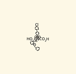 O=C(O)CN(C1(C(=O)O)CC1c1ccccc1OCc1ccccc1)S(=O)(=O)c1ccc(-c2ccc(Cl)cc2)cc1